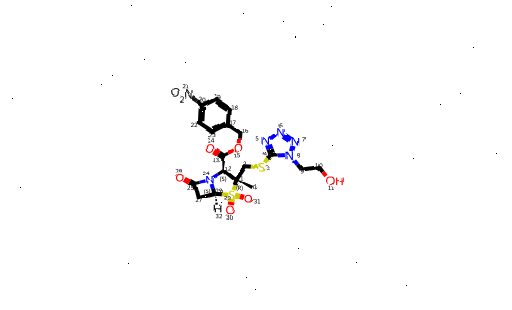 C[C@]1(CSc2nnnn2CCO)[C@H](C(=O)OCc2ccc([N+](=O)[O-])cc2)N2C(=O)C[C@@H]2S1(=O)=O